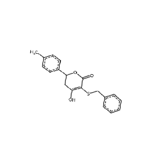 Cc1ccc(C2CC(O)=C(SCc3ccccc3)C(=O)O2)cc1